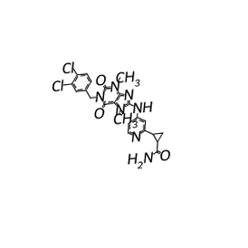 Cn1c(Nc2ccnc(C3CC3C(N)=O)c2)nc2c1c(=O)n(Cc1ccc(Cl)c(Cl)c1)c(=O)n2C